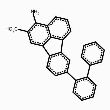 Nc1c(C(=O)O)cc2c3c(cccc13)-c1cc(-c3ccccc3-c3ccccc3)ccc1-2